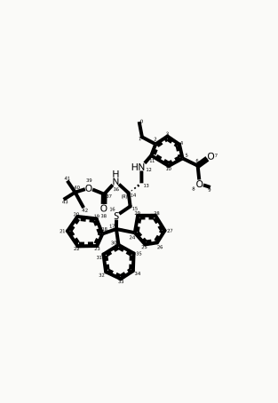 CCc1ccc(C(=O)OC)cc1NC[C@H](CSC(c1ccccc1)(c1ccccc1)c1ccccc1)NC(=O)OC(C)(C)C